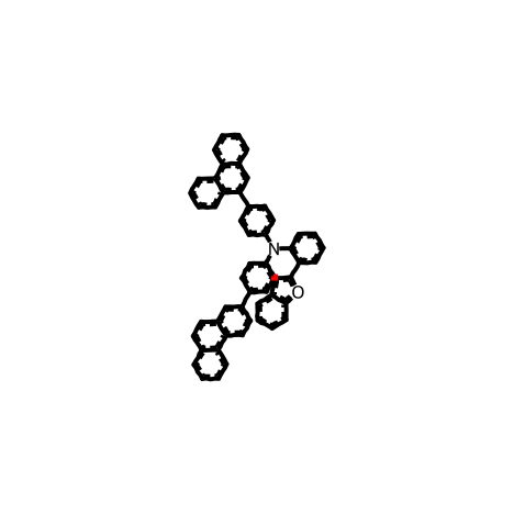 c1ccc(N(c2ccc(-c3ccc4c(ccc5ccccc54)c3)cc2)c2ccc(-c3cc4ccccc4c4ccccc34)cc2)c(-c2cc3ccccc3o2)c1